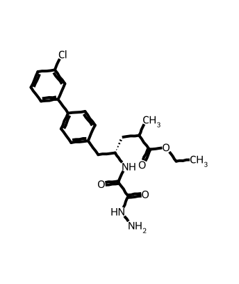 CCOC(=O)C(C)C[C@@H](Cc1ccc(-c2cccc(Cl)c2)cc1)NC(=O)C(=O)NN